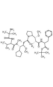 CO[C@H](CC(=O)N1CCCC1[C@H](OC)[C@@H](C)C(=O)NC(Cc1ccccc1)C(=O)OC(C)(C)C)[C@H](C1CCCC1)N(C)C(=O)C(NC(=O)C(C)(C)N)C(C)C